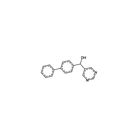 OC(c1ccc(-c2ccccc2)cc1)c1cncnc1